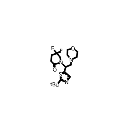 CC(C)(C)c1ncc(C(CN2CCOCC2)N2CC(F)(F)CCC2=O)s1